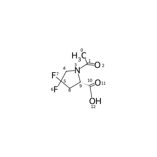 CC(=O)N1CC(F)(F)C[C@H]1C(=O)O